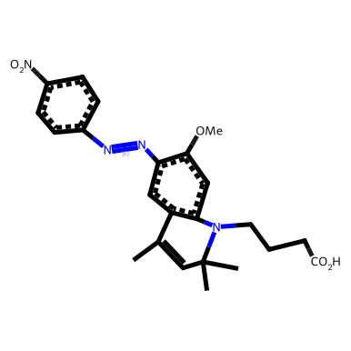 COc1cc2c(cc1/N=N/c1ccc([N+](=O)[O-])cc1)C(C)=CC(C)(C)N2CCCC(=O)O